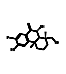 CC(C)c1cc2c(cc1O)[C@@]1(C)CCC[C@@](C)(CO)C1[C@@H](O)C2=O